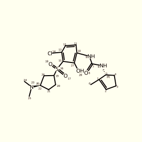 CC1=CCC[C@H]1NC(=O)Nc1ccc(Cl)c(S(=O)(=O)C2CC[C@@H](N(C)C)C2)c1O